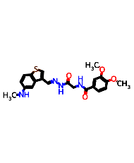 CNc1ccc2scc(/C=N/NC(=O)CNC(=O)c3ccc(OC)c(OC)c3)c2c1